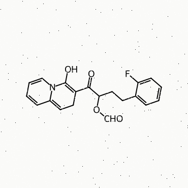 O=COC(CCc1ccccc1F)C(=O)C1=C(O)N2C=CC=CC2=CC1